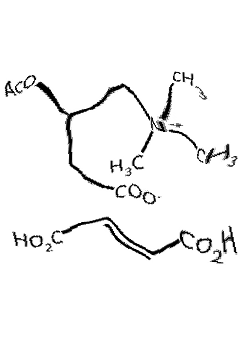 CC(=O)O[C@H](CC(=O)[O-])C[N+](C)(C)C.O=C(O)C=CC(=O)O